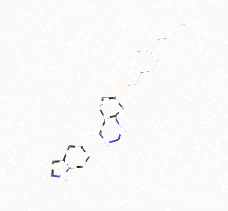 COCCN1CCC(COc2ccc3c(Oc4ccc5[nH]c(C)cc5c4)ncnc3c2)CC1